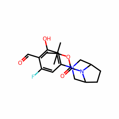 CC(C)(C)OC(=O)N1C2CCC1CN(c1cc(O)c(C=O)c(F)c1)C2